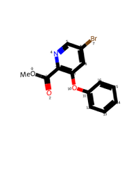 COC(=O)c1ncc(Br)cc1Oc1ccccc1